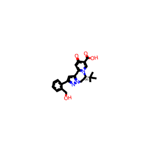 CC(C)(C)[C@@H]1Cn2nc(-c3ccccc3CO)cc2-c2cc(=O)c(C(=O)O)cn21